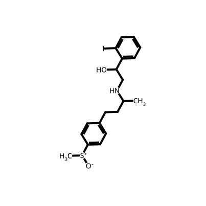 CC(CCc1ccc([S+](C)[O-])cc1)NCC(O)c1ccccc1I